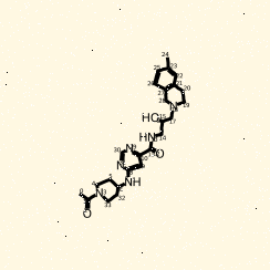 CC(=O)N1CCC(Nc2cc(C(=O)NCC(O)CN3CCc4cc(C)ccc4C3)ncn2)CC1